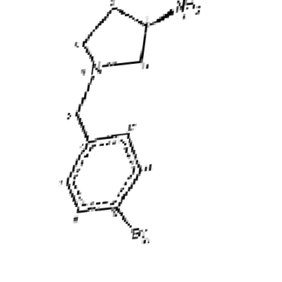 N[C@@H]1CCN(Cc2ccc(Br)cc2)C1